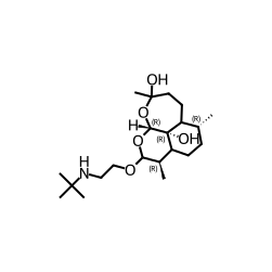 C[C@H]1C(OCCNC(C)(C)C)O[C@@H]2OC(C)(O)CCC3[C@H](C)CCC1[C@]32O